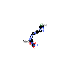 COc1nc(N2CCN(CC3CCN(c4ccc([C@@H]5CCCN(c6ccc(Cl)c7c(C#N)c[nH]c67)C5)cc4)CC3)CC2)cc2c1C(=O)N([C@@H]1CCC(=O)NC1=O)C2